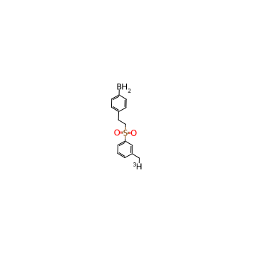 [3H]Cc1cccc(S(=O)(=O)CCc2ccc(B)cc2)c1